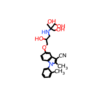 Cc1ccccc1-n1c(C)c(C#N)c2cc(OCC(O)CNC(CO)(CO)CO)ccc21